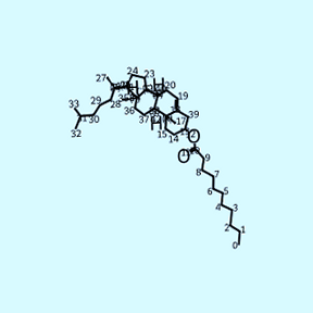 CCCCCCCCCCC(=O)OC1CC[C@@]2(C)C(=CC[C@H]3[C@@H]4CC[C@H]([C@H](C)CCCC(C)C)[C@@]4(C)CC[C@@H]32)C1